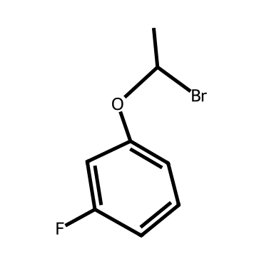 CC(Br)Oc1cccc(F)c1